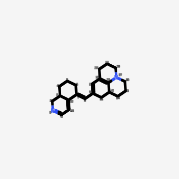 C1=NCC2CCC/C(=C\C3=CC4=C5C(CCCN5CCC4)C3)C2=C1